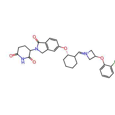 O=C1CCC(N2Cc3cc(O[C@H]4CCCCC4C=[N+]4CC(Oc5ccccc5Cl)C4)ccc3C2=O)C(=O)N1